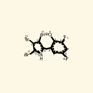 Oc1c(F)cc(F)cc1-c1[nH]c(Br)c(Br)c1Br